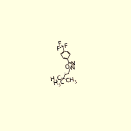 CC(C)(C)[CH]Cc1nnc(-c2ccc(C(F)(F)F)cc2)o1